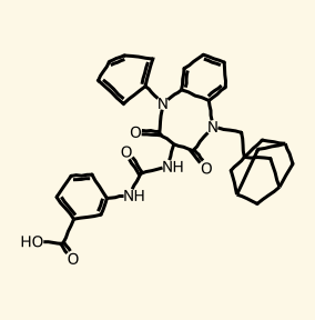 O=C(Nc1cccc(C(=O)O)c1)NC1C(=O)N(CC23CC4CC(CC(C4)C2)C3)c2ccccc2N(c2ccccc2)C1=O